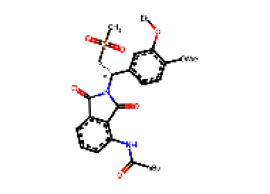 CCCCC(=O)Nc1cccc2c1C(=O)N([C@H](CS(C)(=O)=O)c1ccc(OC)c(OCC)c1)C2=O